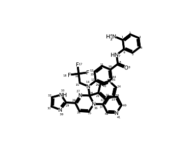 Nc1ccccc1NC(=O)c1ccc(N(CC(F)(F)F)C2(c3cccnc3)N=C(c3ncc[nH]3)C=CN2c2cccnc2)cc1